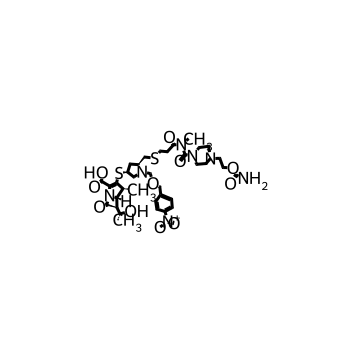 C[C@@H](O)[C@H]1C(=O)N2C(C(=O)O)=C(S[C@H]3C[C@@H](CSCCC(=O)N(C)C(=O)N4CCN(CCOC(N)=O)CC4)N(COCc4ccc([N+](=O)[O-])cc4)C3)[C@H](C)[C@H]12